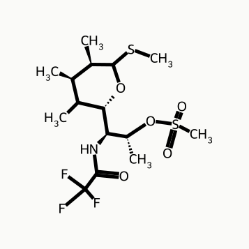 CSC1O[C@H]([C@H](NC(=O)C(F)(F)F)[C@@H](C)OS(C)(=O)=O)C(C)[C@@H](C)[C@H]1C